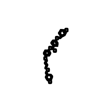 O=C(Oc1ccc(OCCCCOCC2CCC3OC3C2)cc1)c1ccc(OCC2CCC3OC3C2)cc1